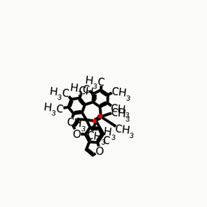 Cc1c(C)c(C)c2c(c1C)-c1c(C)c(C)c(C)c(C)c1C1(C=COc3c1ccc1occc31)c1c(C)c(C)c(C)c(C)c1-2